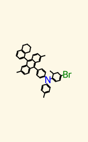 Cc1ccc(N(C2=CC=C(Br)CC2C)c2ccc(-c3c4cc(C)ccc4c(-c4cccc5c4CCCC5)c4cc(C)ccc34)cc2)cc1